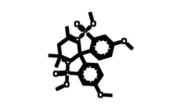 COc1ccc(C2(c3ccc(OC)cc3P(=O)(OC)OC)CC(C)CC(C)(C)C2)c(P(=O)(OC)OC)c1